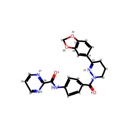 O=C(Nc1ccc(C(=O)N2CCCC(c3ccc4c(c3)OCO4)=N2)cc1)c1ncccn1